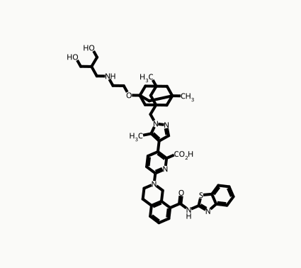 Cc1c(-c2ccc(N3CCc4cccc(C(=O)Nc5nc6ccccc6s5)c4C3)nc2C(=O)O)cnn1CC12CC3(C)CC(C)(C1)CC(OCCNCC(CO)CO)(C3)C2